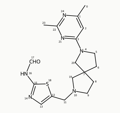 Cc1cc(N2CCC3(CCN(Cc4cnc(NC=O)s4)C3)C2)nc(C)n1